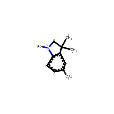 CC(=O)Oc1ccc2c(c1)C(C)(C)CN2C(C)=O